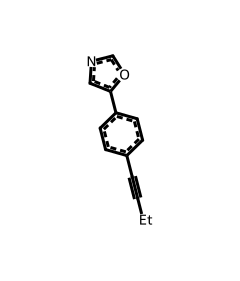 CCC#Cc1ccc(-c2cnco2)cc1